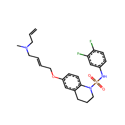 C=CCN(C)CC=CCOc1ccc2c(c1)CCCN2S(=O)(=O)Nc1ccc(F)c(F)c1